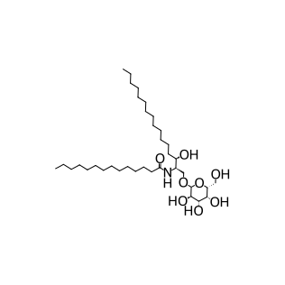 CCCCCCCCCCCCCC(=O)N[C@H](COC1O[C@H](CO)[C@H](O)[C@H](O)[C@H]1O)[C@H](O)CCCCCCCCCCCCC